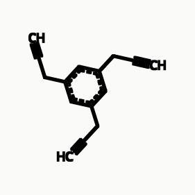 C#CCc1cc(CC#C)cc(CC#C)c1